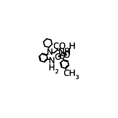 Cc1ccc(S(=O)(=O)NC(CN(c2ccccc2N)C2CCCCC2)C(=O)O)cc1